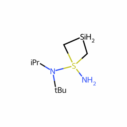 CC(C)N(C(C)(C)C)S1(N)C[SiH2]C1